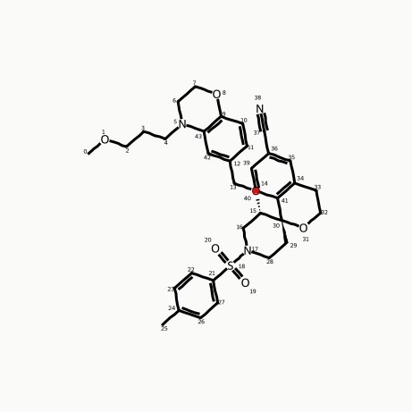 COCCCN1CCOc2ccc(CO[C@H]3CN(S(=O)(=O)c4ccc(C)cc4)CC[C@@]34OCCc3cc(C#N)ccc34)cc21